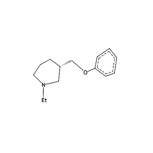 [CH2]CN1CCC[C@H](COc2ccccc2)C1